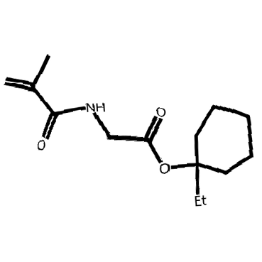 C=C(C)C(=O)NCC(=O)OC1(CC)CCCCC1